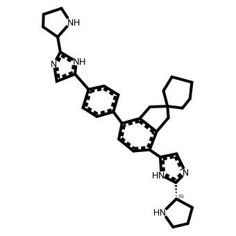 c1cc(-c2ccc(-c3cnc([C@@H]4CCCN4)[nH]3)c3c2CC2(CCCCC2)C3)ccc1-c1cnc(C2CCCN2)[nH]1